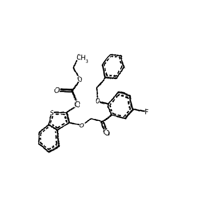 CCOC(=O)Oc1sc2ccccc2c1OCC(=O)c1cc(F)ccc1OCc1ccccc1